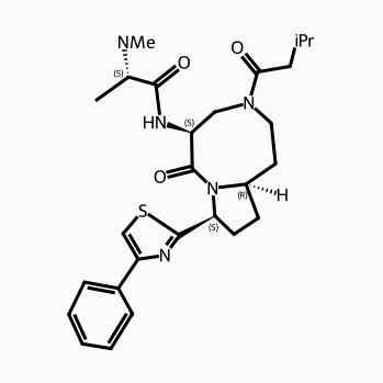 CN[C@@H](C)C(=O)N[C@H]1CN(C(=O)CC(C)C)CC[C@H]2CC[C@@H](c3nc(-c4ccccc4)cs3)N2C1=O